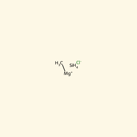 [CH3][Mg+].[Cl-].[SiH4]